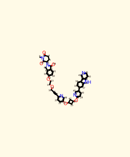 CN1C(=O)CCC(N2Cc3cc(OCCOCC#Cc4ccc(OC5CC(Oc6ccc(-c7ccc8c(c7)[nH]c7ccncc78)cn6)C5)cn4)ccc3C2=O)C1=O